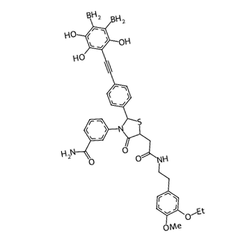 Bc1c(B)c(O)c(C#Cc2ccc(C3SC(CC(=O)NCCc4ccc(OC)c(OCC)c4)C(=O)N3c3cccc(C(N)=O)c3)cc2)c(O)c1O